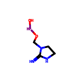 N=C1NCCN1COPO